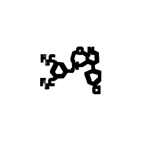 FC(F)(F)c1cc(CN2CCOc3nccc(-c4ccc(Cl)cc4)c3C2)cc(C(F)(F)F)c1